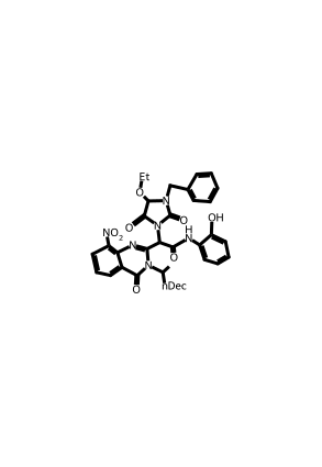 CCCCCCCCCCC(C)n1c(C(C(=O)Nc2ccccc2O)N2C(=O)C(OCC)N(Cc3ccccc3)C2=O)nc2c([N+](=O)[O-])cccc2c1=O